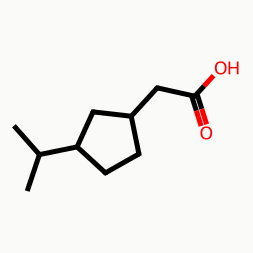 CC(C)C1CCC(CC(=O)O)C1